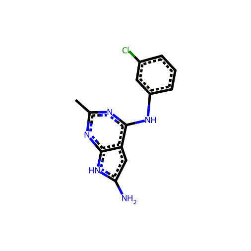 Cc1nc(Nc2cccc(Cl)c2)c2cc(N)[nH]c2n1